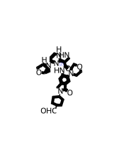 N=C/C(C(=O)Nc1cc2c(cc1N1CCOCC1)C(=O)N([C@H]1CC[C@H](C=O)CC1)C2)=C1/N=C(N2CC3C[C@@H]2CO3)C=CN1